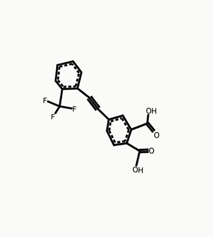 O=C(O)c1ccc(C#Cc2ccccc2C(F)(F)F)cc1C(=O)O